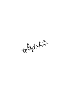 O=C(NCCCNCc1cccnc1)c1cc(-c2cccs2)[nH]n1